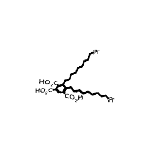 CC(C)CCCCCCCCCc1c(C(=O)O)cc(C(=O)O)c(C(=O)O)c1CCCCCCCCCC(C)C